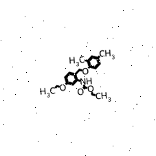 CCOC(=O)Nc1cc(OCC)ccc1COc1ccc(C)cc1C